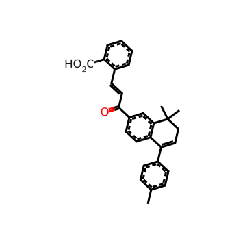 Cc1ccc(C2=CCC(C)(C)c3cc(C(=O)C=Cc4ccccc4C(=O)O)ccc32)cc1